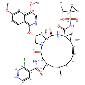 COc1ccc2c(O[C@@H]3C[C@H]4C(=O)N[C@]5(C(=O)NS(=O)(=O)C6(CF)CC6)C[C@H]5/C=C\CC[C@@H](C)C[C@@H](C)[C@H](NC(=O)c5ccncc5F)C(=O)N4C3)ncc(OC)c2c1